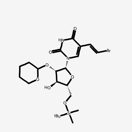 CC(C)(C)[Si](C)(C)OC[C@H]1O[C@@H](n2cc(/C=C/Br)c(=O)[nH]c2=O)[C@@H](OC2CCCCO2)[C@@H]1O